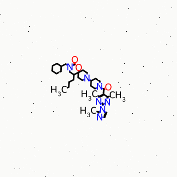 CCCCC1CN(CC2CCCCC2)C(=O)OC12CCN(C1CCN(C(=O)c3c(C)nc(-n4ccnc4C)nc3C)CC1)CC2